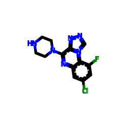 Fc1cc(Cl)cc2nc(N3CCNCC3)c3nncn3c12